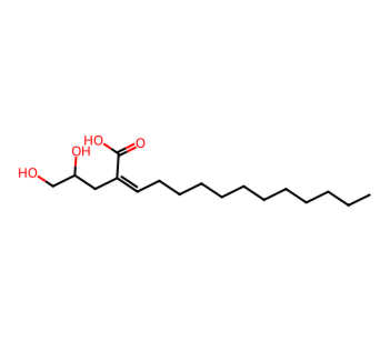 CCCCCCCCCCCC=C(CC(O)CO)C(=O)O